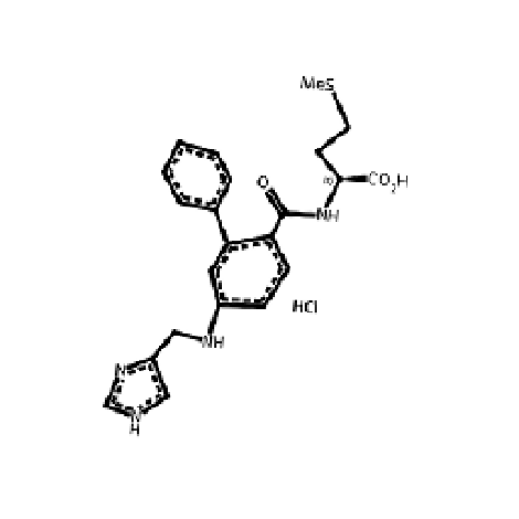 CSCC[C@H](NC(=O)c1ccc(NCc2c[nH]cn2)cc1-c1ccccc1)C(=O)O.Cl